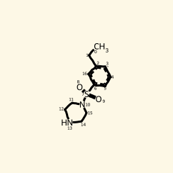 CCc1[c]ccc(S(=O)(=O)N2CCNCC2)c1